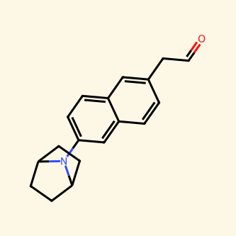 O=CCc1ccc2cc(N3C4CCC3CC4)ccc2c1